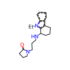 CCn1c2c(c3ccccc31)CCCC2NCCCN1CCCC1=O